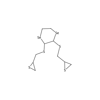 C1C[Se]C(SCC2CS2)C(SCC2CS2)[Se]1